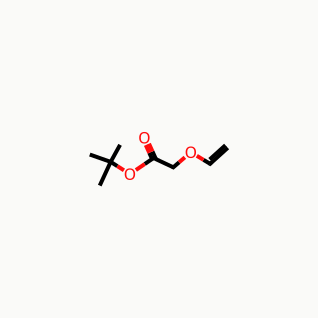 C=COCC(=O)OC(C)(C)C